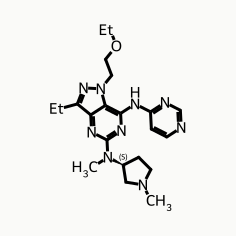 CCOCCn1nc(CC)c2nc(N(C)[C@H]3CCN(C)C3)nc(Nc3ccncn3)c21